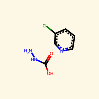 Clc1cccnc1.NNC(=O)O